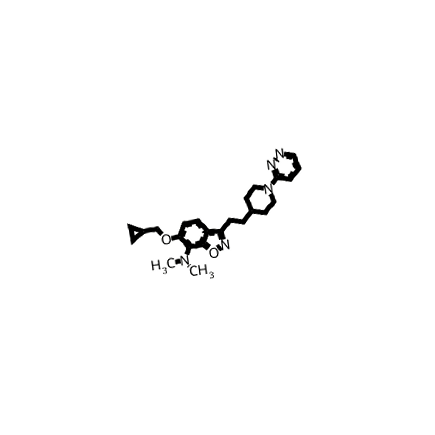 CN(C)c1c(OCC2CC2)ccc2c(CCC3CCN(c4cccnn4)CC3)noc12